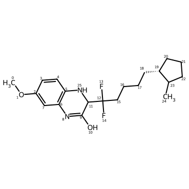 COc1ccc2c(c1)N=C(O)C(C(F)(F)CCCC[C@@H]1CCCC1C)N2